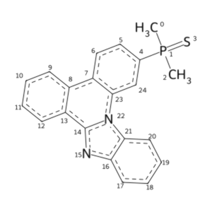 CP(C)(=S)c1ccc2c3ccccc3c3nc4ccccc4n3c2c1